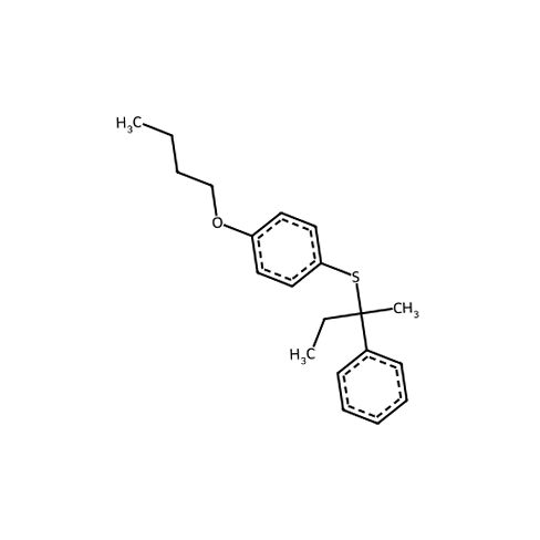 CCCCOc1ccc(SC(C)(CC)c2ccccc2)cc1